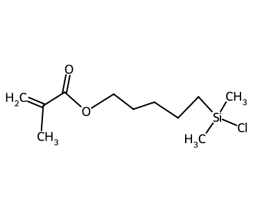 C=C(C)C(=O)OCCCCC[Si](C)(C)Cl